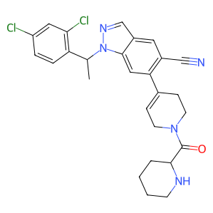 CC(c1ccc(Cl)cc1Cl)n1ncc2cc(C#N)c(C3=CCN(C(=O)C4CCCCN4)CC3)cc21